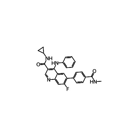 CNC(=O)c1ccc(-c2cc3c(Nc4ccccc4)c(C(=O)NC4CC4)cnc3cc2F)cc1